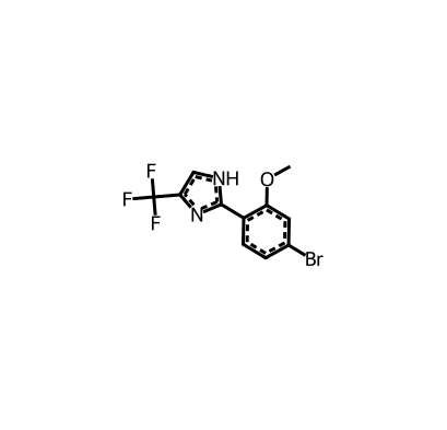 COc1cc(Br)ccc1-c1nc(C(F)(F)F)c[nH]1